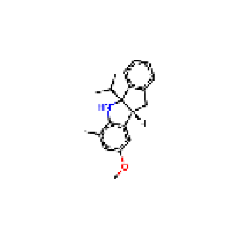 COc1cc(C)c2c(c1)[C@H]1Cc3ccccc3[C@@]1(C(C)C)N2